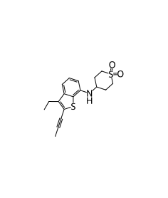 CC#Cc1sc2c(NC3CCS(=O)(=O)CC3)cccc2c1CC